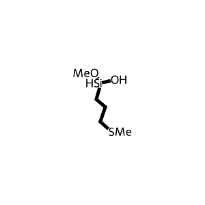 CO[SiH](O)CCCSC